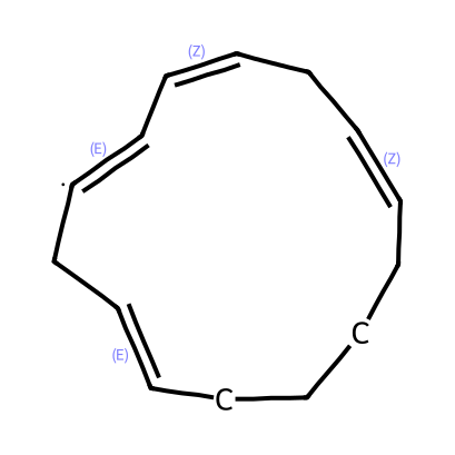 [C]1=C/C=C\C/C=C\CCCC/C=C/C/1